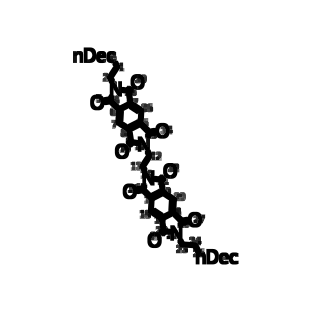 CCCCCCCCCCCCn1c(=O)c2cc3c(=O)n(CCn4c(=O)c5cc6c(=O)n(CCCCCCCCCCCC)c(=O)c6cc5c4=O)c(=O)c3cc2c1=O